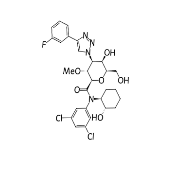 CO[C@@H]1[C@@H](n2cc(-c3cccc(F)c3)nn2)[C@@H](O)[C@@H](CO)O[C@H]1C(=O)N(c1cc(Cl)cc(Cl)c1)[C@H]1CCCC[C@@H]1O